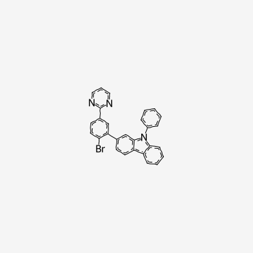 Brc1ccc(-c2ncccn2)cc1-c1ccc2c3ccccc3n(-c3ccccc3)c2c1